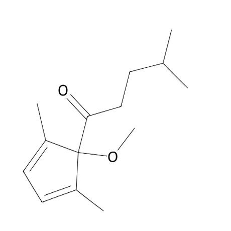 COC1(C(=O)CCC(C)C)C(C)=CC=C1C